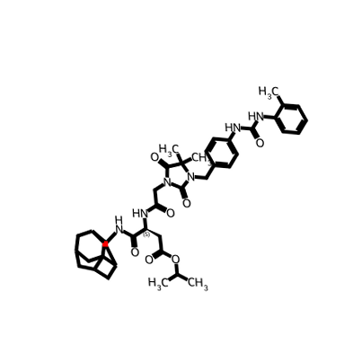 Cc1ccccc1NC(=O)Nc1ccc(CN2C(=O)N(CC(=O)N[C@@H](CC(=O)OC(C)C)C(=O)NC3C4CC5CC6CC3C6(C5)C4)C(=O)C2(C)C)cc1